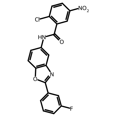 O=C(Nc1ccc2oc(-c3cccc(F)c3)nc2c1)c1cc([N+](=O)[O-])ccc1Cl